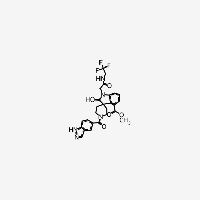 COC(=O)c1cccc2c1C1(CCN(C(=O)c3ccc4[nH]ncc4c3)CC1)C(O)N2CC(=O)NCC(F)(F)F